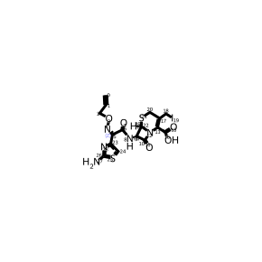 C#CCO/N=C(\C(=O)N[C@@H]1C(=O)N2C(C(=O)O)=C(CI)CS[C@@H]12)c1csc(N)n1